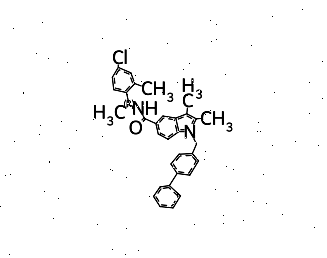 Cc1cc(Cl)ccc1[C@@H](C)NC(=O)c1ccc2c(c1)c(C)c(C)n2Cc1ccc(-c2ccccc2)cc1